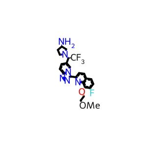 COCCOc1c(F)ccc2ccc(-c3nnc4ccc([C@@H](N5CC[C@H](N)C5)C(F)(F)F)cn34)nc12